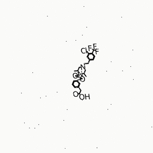 CC1CN(CCc2ccc(C(F)(F)F)c(Cl)c2)CC(C)N1S(=O)(=O)c1cccc(CC(=O)O)c1